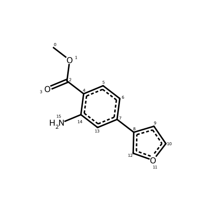 COC(=O)c1ccc(-c2ccoc2)cc1N